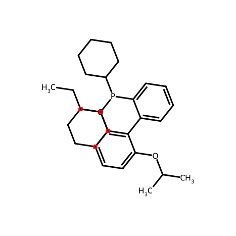 CCCOc1cccc(OC(C)C)c1-c1ccccc1P(C1CCCCC1)C1CCCCC1